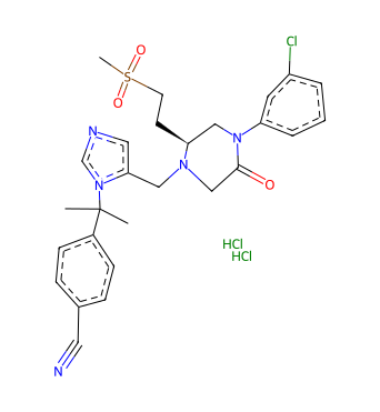 CC(C)(c1ccc(C#N)cc1)n1cncc1CN1CC(=O)N(c2cccc(Cl)c2)C[C@@H]1CCS(C)(=O)=O.Cl.Cl